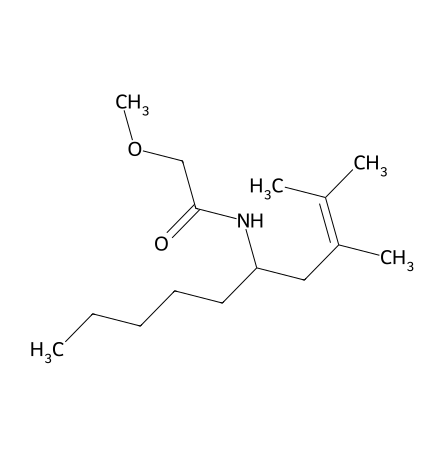 CCCCCC(CC(C)=C(C)C)NC(=O)COC